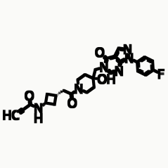 C#CC(=O)N[C@H]1C[C@H](CC(=O)N2CCC(O)(Cn3cnc4c(cnn4-c4ccc(F)cc4)c3=O)CC2)C1